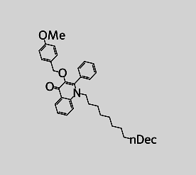 CCCCCCCCCCCCCCCCCCn1c(-c2ccccc2)c(OCc2ccc(OC)cc2)c(=O)c2ccccc21